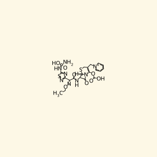 CCON=C(C(=O)NC1C(=O)N2C(OC(=O)O)=C(C[n+]3ccccc3)CS[C@@H]12)c1nsc(NP(N)(=O)O)n1